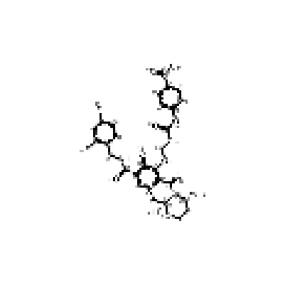 C[C@@H]1CCO[C@H]2Cn3cc(C(=O)NCc4ccc(F)cc4F)c(=O)c(OCOC(=O)Oc4ccc([N+](=O)[O-])cc4)c3C(=O)N12